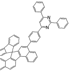 c1ccc(-c2cc(-c3ccc(-c4cc5c(c6ccccc46)-c4ccc6ccccc6c4C54c5ccccc5-c5ccccc54)cc3)nc(-c3ccccc3)n2)cc1